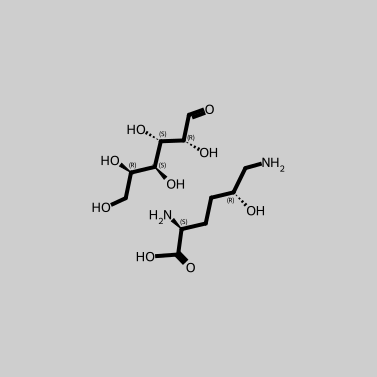 NC[C@H](O)CC[C@H](N)C(=O)O.O=C[C@H](O)[C@@H](O)[C@@H](O)[C@H](O)CO